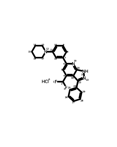 Cl.FC(F)c1cc(-c2cccc(N3CCCCC3)c2)nc2[nH]nc(-c3ccccc3)c12